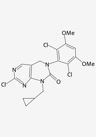 COc1cc(OC)c(Cl)c(N2Cc3cnc(Cl)nc3N(CC3CC3)C2=O)c1Cl